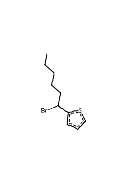 CCCCCC(Br)c1cccs1